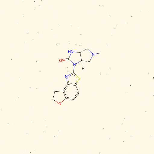 CN1CC2NC(=O)N(c3nc4c5c(ccc4s3)OCC5)[C@@H]2C1